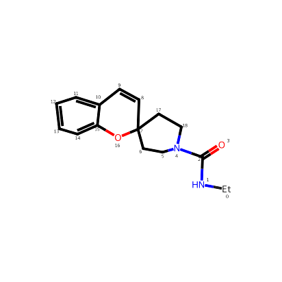 CCNC(=O)N1CCC2(C=Cc3ccccc3O2)CC1